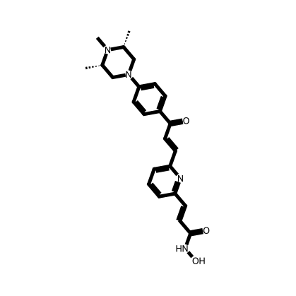 C[C@@H]1CN(c2ccc(C(=O)C=Cc3cccc(C=CC(=O)NO)n3)cc2)C[C@H](C)N1C